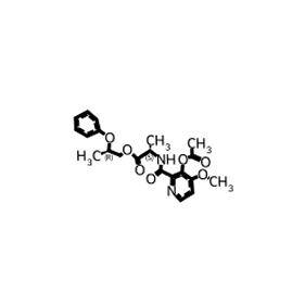 COc1ccnc(C(=O)N[C@@H](C)C(=O)OC[C@@H](C)Oc2ccccc2)c1OC(C)=O